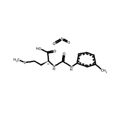 CSCC[C@H](NC(=O)Nc1cccc(C)c1)C(=O)O.O=S=O